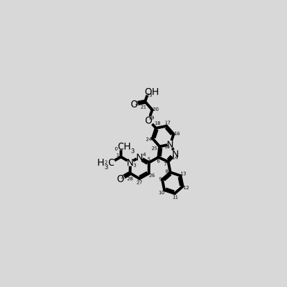 CC(C)n1nc(-c2c(-c3ccccc3)nn3ccc(OCC(=O)O)cc23)ccc1=O